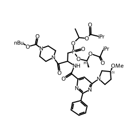 CCCCOC(=O)N1CCN(C(=O)C(CP(=O)(OC(C)OC(=O)C(C)C)O[C@H](C)OC(=O)C(C)C)NC(=O)c2cc(N3CC[C@H](OC)C3)nc(-c3ccccc3)n2)CC1